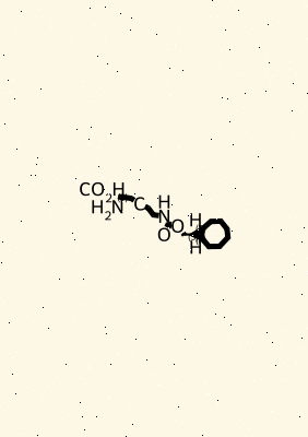 N[C@@H](CCCCNC(=O)OC[C@@H]1[C@@H]2CCCCCC[C@@H]21)C(=O)O